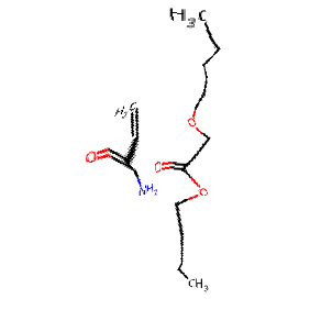 C=CC(N)=O.CCCCOCC(=O)OCCCC